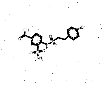 NS(=O)(=O)c1cc(C(=O)O)ccc1NS(=O)(=O)CCc1ccc(Br)cc1